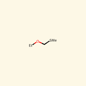 [CH2]COCSC